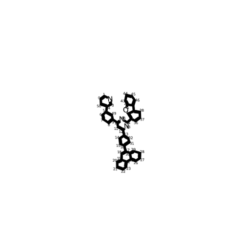 c1cncc(-c2cccc(-c3cc(-c4ccc(-c5cc6ccccc6c6ccccc56)cc4)nc(-c4cccc5c4oc4ccccc45)n3)c2)c1